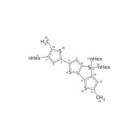 CCCCCCc1cc(-c2cc3c(s2)-c2sc(C)cc2[Si]3(CCCCCC)CCCCCC)sc1C